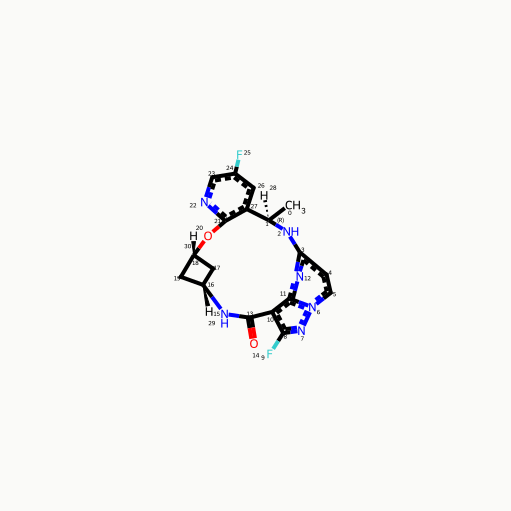 C[C@H]1Nc2ccn3nc(F)c(c3n2)C(=O)N[C@H]2C[C@H](C2)Oc2ncc(F)cc21